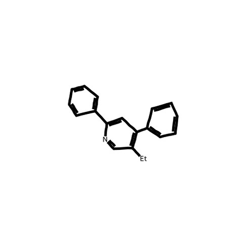 CCc1cnc(-c2ccccc2)cc1-c1ccccc1